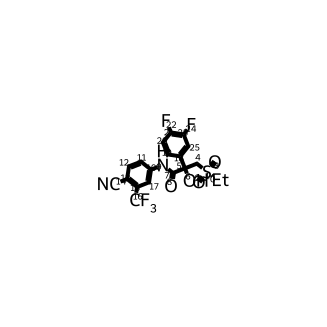 CCS(=O)(=O)CC(O)(C(=O)Nc1ccc(C#N)c(C(F)(F)F)c1)c1ccc(F)c(F)c1